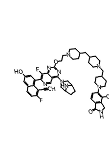 C#Cc1c(F)ccc2cc(O)cc(-c3ncc4c(N5CC6CCC(C5)N6)nc(OCCN5CCC(CC6CCN(CC7CCN(c8ccc9c(c8Cl)CNC9=O)CC7)CC6)CC5)nc4c3F)c12